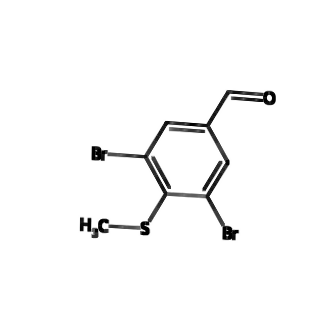 CSc1c(Br)cc(C=O)cc1Br